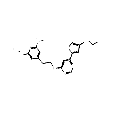 CCOc1csc(-c2cc(NCCc3cc(OC)cc(OC)c3)ncn2)c1